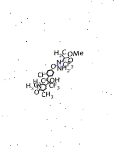 C=C/C(C(=O)OC)=C(\N=C(/N)Oc1ccc([C@H](C)[C@](O)(c2cc(C)c(=O)n(C)c2)C(F)(F)F)c(Cl)c1)C(F)(F)F